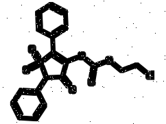 O=C(OCCCl)OC1=C(c2ccccc2)S(=O)(=O)C(c2ccccc2)C1=O